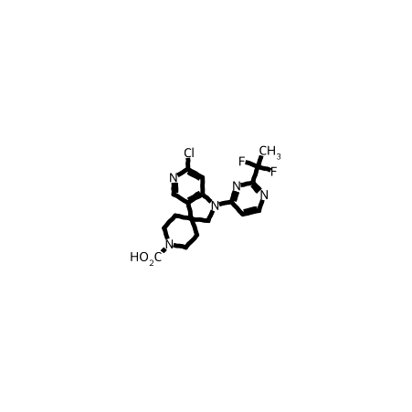 CC(F)(F)c1nccc(N2CC3(CCN(C(=O)O)CC3)c3cnc(Cl)cc32)n1